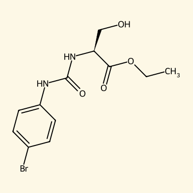 CCOC(=O)[C@H](CO)NC(=O)Nc1ccc(Br)cc1